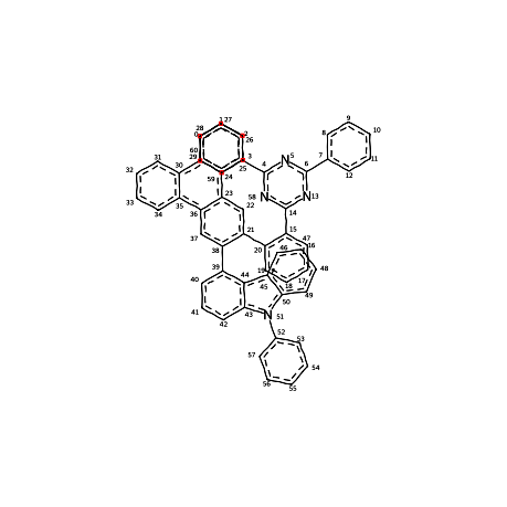 c1ccc(-c2nc(-c3ccccc3)nc(-c3ccccc3-c3cc4c5ccccc5c5ccccc5c4cc3-c3cccc4c3c3ccccc3n4-c3ccccc3)n2)cc1